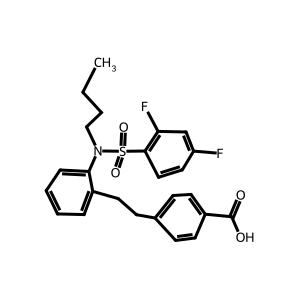 CCCCN(c1ccccc1CCc1ccc(C(=O)O)cc1)S(=O)(=O)c1ccc(F)cc1F